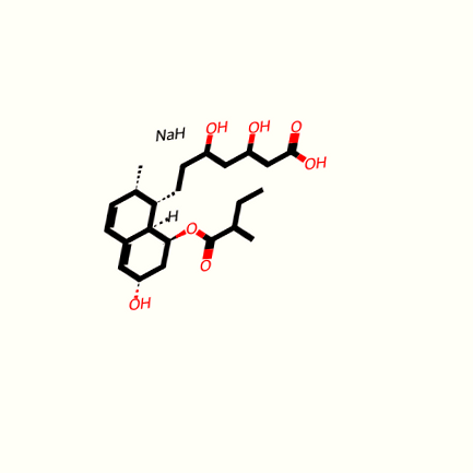 CCC(C)C(=O)O[C@H]1C[C@H](O)C=C2C=C[C@H](C)[C@H](CCC(O)CC(O)CC(=O)O)[C@H]21.[NaH]